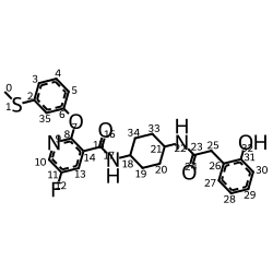 CSc1cccc(Oc2ncc(F)cc2C(=O)NC2CCC(NC(=O)Cc3ccccc3O)CC2)c1